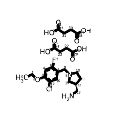 CCOc1cc(F)c(CN2CC[C@@H](CN)C2)cc1Cl.O=C(O)CCC(=O)O.O=C(O)CCC(=O)O